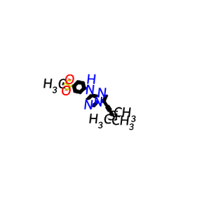 C[Si](C)(C)C#Cc1cnc2c(Nc3ccc(S(C)(=O)=O)cc3)cncn12